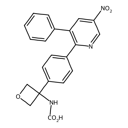 O=C(O)NC1(c2ccc(-c3ncc([N+](=O)[O-])cc3-c3ccccc3)cc2)COC1